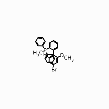 COc1cc(Br)cc(F)c1-c1ccccc1[PH](C)(c1ccccc1)c1ccccc1